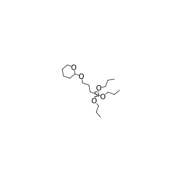 CCCO[Si](CCCOC1CCCCO1)(OCCC)OCCC